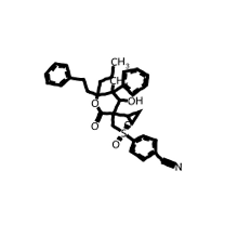 CCCC1(CCc2ccccc2)OC(=O)C(CS(=O)(=O)c2ccc(C#N)cc2)(C2CC2)C(O)C1(C)c1ccccc1